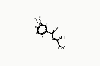 O=C(/C=C(\Cl)CCl)c1cccc([N+](=O)[O-])c1